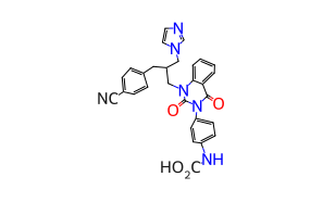 N#Cc1ccc(CC(Cn2ccnc2)Cn2c(=O)n(-c3ccc(NC(=O)O)cc3)c(=O)c3ccccc32)cc1